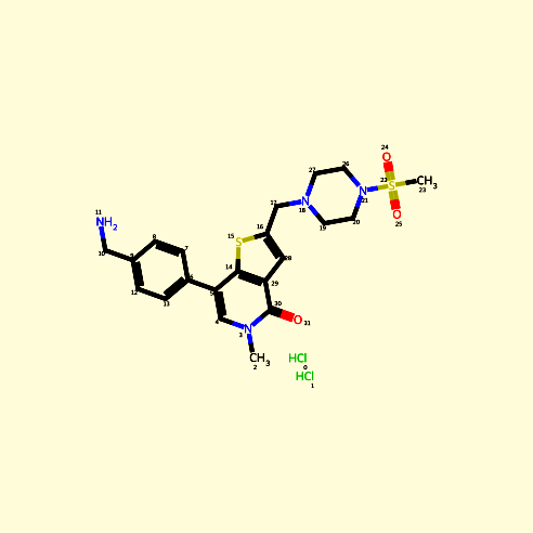 Cl.Cl.Cn1cc(-c2ccc(CN)cc2)c2sc(CN3CCN(S(C)(=O)=O)CC3)cc2c1=O